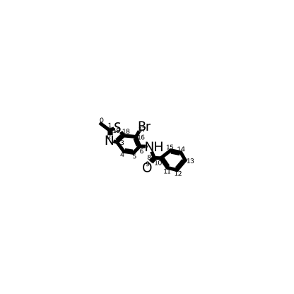 Cc1nc2ccc(NC(=O)c3ccccc3)c(Br)c2s1